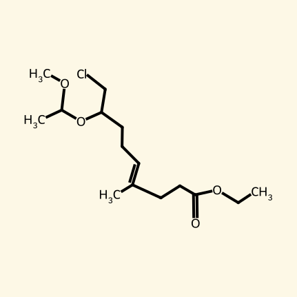 CCOC(=O)CCC(C)=CCCC(CCl)OC(C)OC